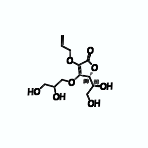 C=CCOC1=C(OCC(O)CO)[C@@H]([C@@H](O)CO)OC1=O